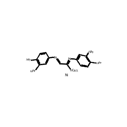 CCCCCCCCC(C=Nc1ccc(CCC)c(CCC)c1)=Nc1ccc(CCC)c(CCC)c1.[Ni]